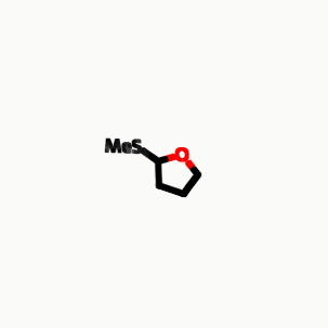 CSC1CCCO1